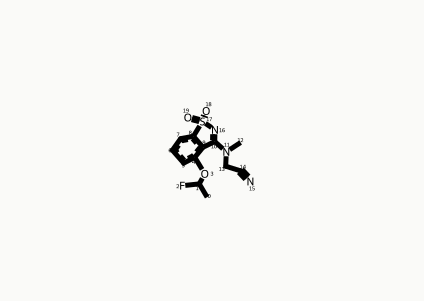 CC(F)Oc1cccc2c1C(N(C)CC#N)=NS2(=O)=O